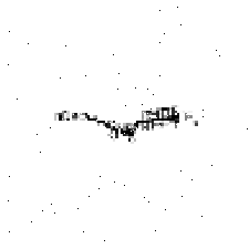 CCCCCCCCCCCCCCCCOC(=O)NCC(=O)OCCC(F)(F)C(F)(F)C(F)(F)C(F)(F)C(F)(F)C(F)(F)C(F)(F)C(F)(F)F